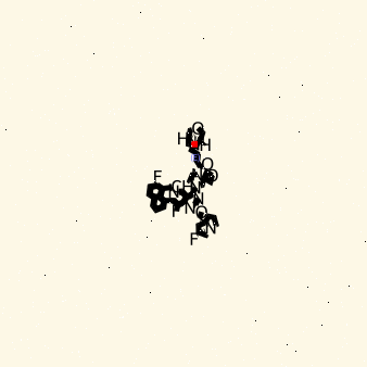 C#Cc1c(F)ccc2cccc(-c3ncc4c(N5CCN(C(=O)/C=C/CN6[C@@H]7CC[C@H]6COC7)C6(COC6)C5)nc(OC[C@@]56CCCN5C[C@H](F)C6)nc4c3F)c12